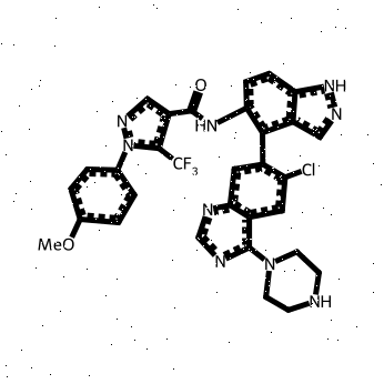 COc1ccc(-n2ncc(C(=O)Nc3ccc4[nH]ncc4c3-c3cc4ncnc(N5CCNCC5)c4cc3Cl)c2C(F)(F)F)cc1